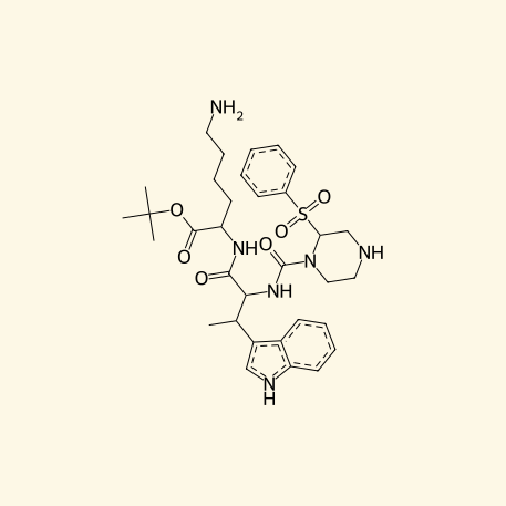 CC(c1c[nH]c2ccccc12)C(NC(=O)N1CCNCC1S(=O)(=O)c1ccccc1)C(=O)NC(CCCCN)C(=O)OC(C)(C)C